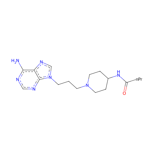 CCCC(=O)NC1CCN(CCCn2cnc3c(N)ncnc32)CC1